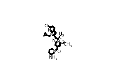 COc1cc(C(=O)N2CCC[C@@H](N)C2)cc2nc(-c3cc4ccc(Cl)nc4n3CC3CC3)c(C)n12